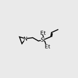 CC=C[Si](CC)(CC)CCN1CC1